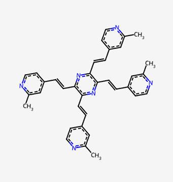 Cc1cc(C=Cc2nc(C=Cc3ccnc(C)c3)c(C=Cc3ccnc(C)c3)nc2C=Cc2ccnc(C)c2)ccn1